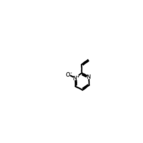 C=Cc1nccc[n+]1[O-]